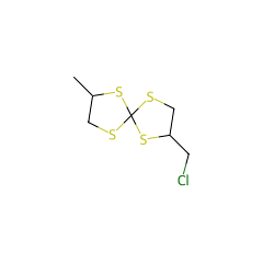 CC1CSC2(SCC(CCl)S2)S1